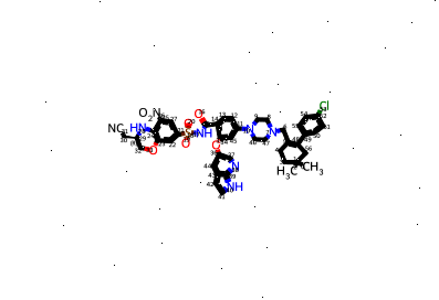 CC1(C)CCC(CN2CCN(c3ccc(C(=O)NS(=O)(=O)c4cc5c(c([N+](=O)[O-])c4)N[C@H](CC#N)CO5)c(Oc4cnc5[nH]ccc5c4)c3)CC2)=C(c2ccc(Cl)cc2)C1